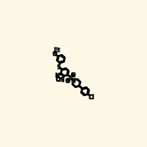 CCOc1cccc(Sc2ccc(S(=O)(=O)N3CCC(c4ccc(Cl)cc4)CC3)c3nonc23)c1